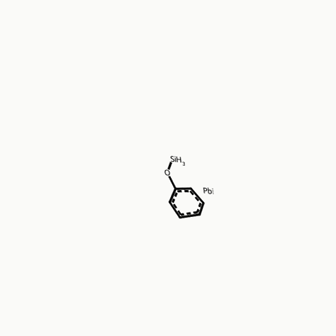 [Pb].[SiH3]Oc1ccccc1